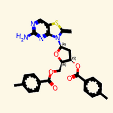 C=C1Sc2cnc(N)nc2N1[C@H]1C[C@H](OC(=O)c2ccc(C)cc2)[C@@H](COC(=O)c2ccc(C)cc2)O1